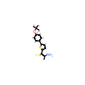 C/C(N)=C(\S)c1ccc(-c2ccc(OC(C)(C)C)cc2)s1